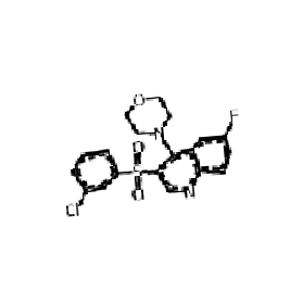 O=S(=O)(c1cccc(Cl)c1)c1cnc2ccc(F)cc2c1N1CCOCC1